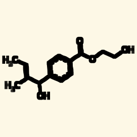 CC=C(C)C(O)c1ccc(C(=O)OCCO)cc1